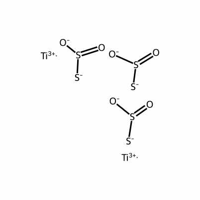 O=S([O-])[S-].O=S([O-])[S-].O=S([O-])[S-].[Ti+3].[Ti+3]